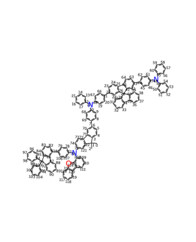 CC1(C)c2ccc(-c3ccc(N(c4ccccc4)c4ccc(-c5ccc6c(c5)C5(c7ccccc7-c7ccccc75)c5cc(-c7ccc(N(c8ccccc8)c8ccccc8)cc7)ccc5-6)cc4)cc3)cc2-c2ccc(N(c3ccc(-c4cccc5c4-c4ccccc4C5(c4ccccc4)c4ccccc4)cc3)c3cccc4c3oc3ccccc34)cc21